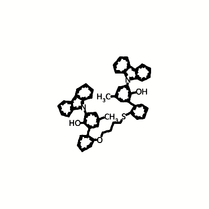 Cc1cc(-c2ccccc2OCCCCSc2ccccc2-c2cc(C)cc(-n3c4ccccc4c4ccccc43)c2O)c(O)c(-n2c3ccccc3c3ccccc32)c1